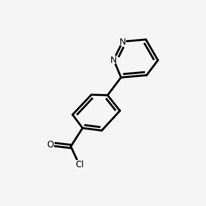 O=C(Cl)c1ccc(-c2cccnn2)cc1